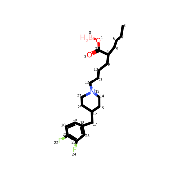 BOC(=O)C(CCCC)CCCCN1CCC(Cc2ccc(F)c(F)c2)CC1